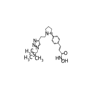 C[Si](C)(C)Cn1cc(CCN2CCC[C@H]2c2ccc(C=CC(=O)NO)cc2)nn1